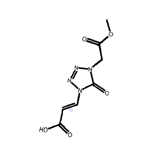 COC(=O)Cn1nnn(/C=C/C(=O)O)c1=O